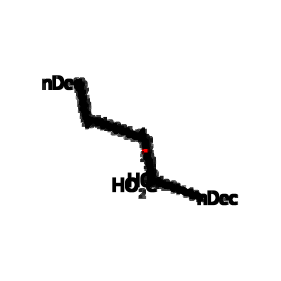 CCCCCCCCCCCCCCCCCCCCCCCC[C@H](C(=O)O)[C@H](O)CCCCCCCCCCC[C@@H]1CC1CCCCCCCCCCCCCC[C@@H]1CC1CCCCCCCCCCCCCCCCCCCC